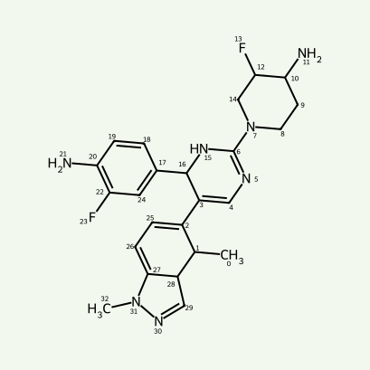 CC1C(C2=CN=C(N3CCC(N)C(F)C3)NC2c2ccc(N)c(F)c2)=CC=C2C1C=NN2C